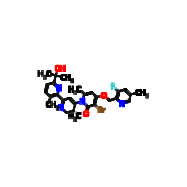 Cc1cnc(COc2cc(C)n(C3=CC(c4nc(C(C)(C)O)ccc4C)=NC[C@H]3C)c(=O)c2Br)c(F)c1